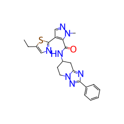 CCc1cnc(-c2cnn(C)c2C(=O)NC2CCn3nc(-c4ccccc4)nc3C2)s1